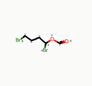 O=COC(Br)CCCBr